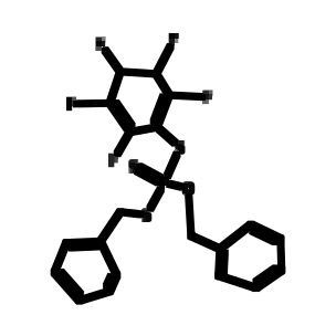 FC1=C(F)C(F)C(F)C(F)=C1SP(=S)(OCc1ccccc1)SCc1ccccc1